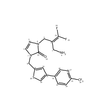 NCC(Cn1ncn(Cc2cc(-c3ccc(C(F)(F)F)nc3)cs2)c1=O)=C(F)F